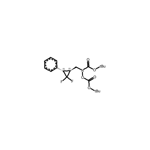 CC(C)(C)OC(=O)ON(C[C@@H]1[C@@H](c2ccccc2)C1(F)F)C(=O)OC(C)(C)C